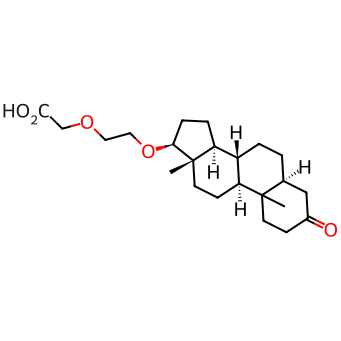 CC12CCC(=O)C[C@@H]1CC[C@@H]1[C@@H]2CC[C@]2(C)[C@@H](OCCOCC(=O)O)CC[C@@H]12